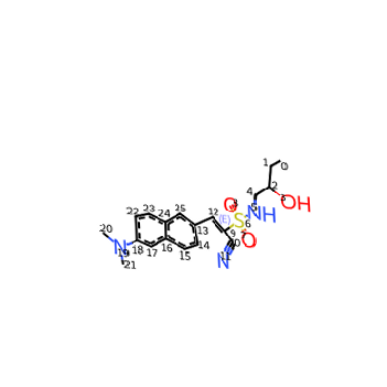 CCC(O)CNS(=O)(=O)/C(C#N)=C/c1ccc2cc(N(C)C)ccc2c1